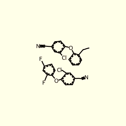 CCc1ccccc1Oc1ccc(C#N)cc1Cl.N#Cc1ccc(Oc2ccc(F)cc2F)c(Cl)c1